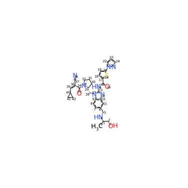 C[C@H](CO)NCc1ccc2c(c1)nc(NC(=O)c1ccc(-n3cccn3)s1)n2C[C@H]1CCCN1C(=O)/C(C#N)=C\C1CC1